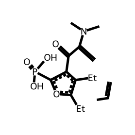 C=C(C(=O)c1c(P(=O)(O)O)oc(CC)c1CC)N(C)C.C=CC